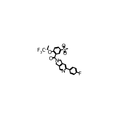 C[C@H](Oc1ccc(S(C)(=O)=O)cc1C(=O)N1Cc2cnc(-c3ccc(F)cc3)cc2C1)C(F)(F)F